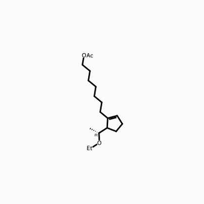 CCO[C@H](C)C1CCC=C1CCCCCCCOC(C)=O